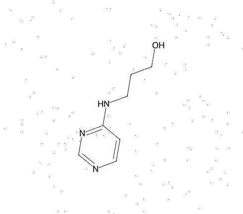 OCCCNc1ccncn1